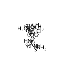 C[Si](C)(C)CCOP(=O)(OCC[Si](C)(C)C)Oc1cc(Cl)ccc1COC(=O)Nc1cccnc1C=NNC(N)=S